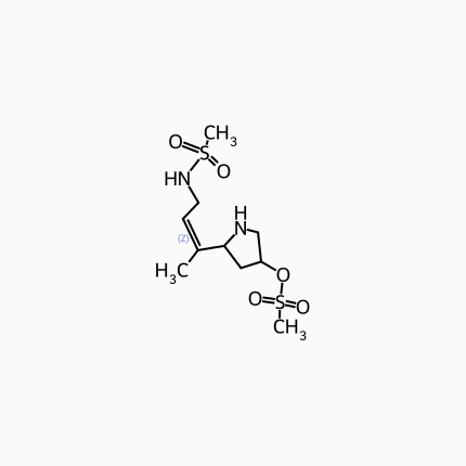 C/C(=C/CNS(C)(=O)=O)C1CC(OS(C)(=O)=O)CN1